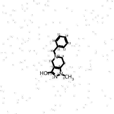 Cn1nc(O)c2c1CCN(Cc1ccccc1)C2